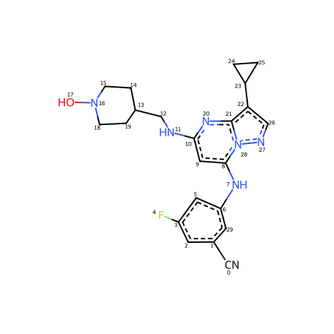 N#Cc1cc(F)cc(Nc2cc(NCC3CCN(O)CC3)nc3c(C4CC4)cnn23)c1